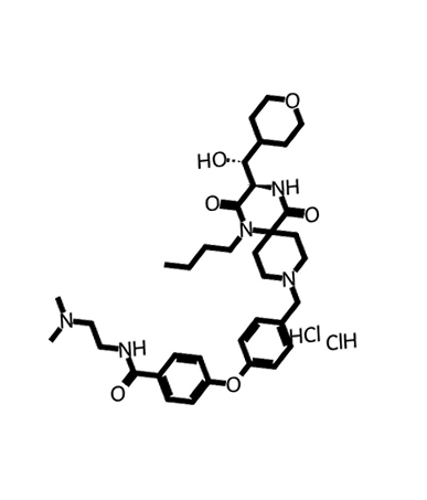 CCCCN1C(=O)[C@@H]([C@H](O)C2CCOCC2)NC(=O)C12CCN(Cc1ccc(Oc3ccc(C(=O)NCCN(C)C)cc3)cc1)CC2.Cl.Cl